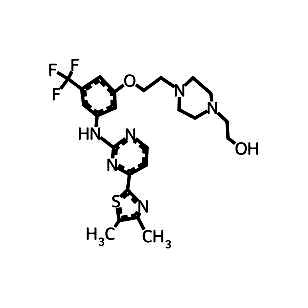 Cc1nc(-c2ccnc(Nc3cc(OCCN4CCN(CCO)CC4)cc(C(F)(F)F)c3)n2)sc1C